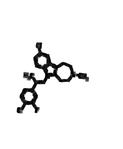 C/C(=C\n1c2c(c3cc(Cl)ccc31)CCN(C)CC2)c1ccc(Cl)c(F)c1